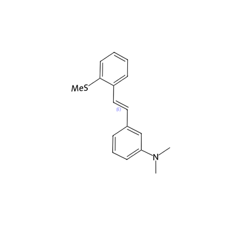 CSc1ccccc1/C=C/c1cccc(N(C)C)c1